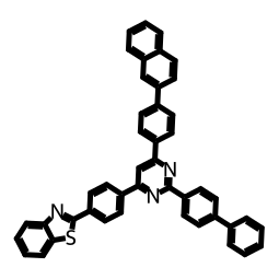 c1ccc(-c2ccc(-c3nc(-c4ccc(-c5ccc6ccccc6c5)cc4)cc(-c4ccc(-c5nc6ccccc6s5)cc4)n3)cc2)cc1